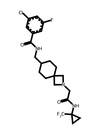 O=C(CN1CC2(CCC(CNC(=O)c3cc(F)cc(Cl)c3)CC2)C1)NC1(C(F)(F)F)CC1